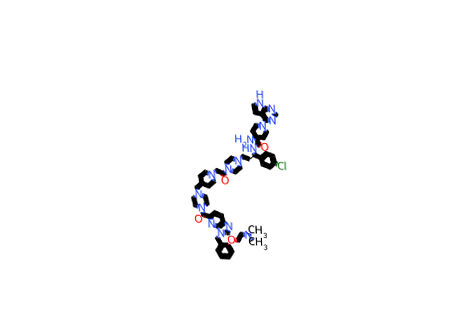 CN(C)CCOc1ccccc1Cn1cnc2ccc(C(=O)N3CCN(CC4CCN(CC(=O)N5CCN(CC[C@H](NC(=O)C6(N)CCN(c7ncnc8[nH]ccc78)CC6)c6ccc(Cl)cc6)CC5)CC4)CC3)nc21